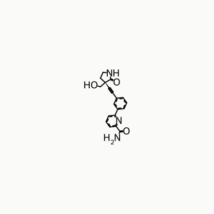 NC(=O)c1cccc(-c2cccc(C#C[C@@]3(CO)CCNC3=O)c2)n1